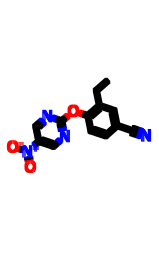 CCc1cc(C#N)ccc1Oc1ncc([N+](=O)[O-])cn1